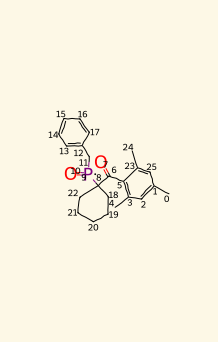 Cc1cc(C)c(C(=O)C2([P](=O)Cc3ccccc3)CCCCC2)c(C)c1